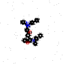 c1ccc(-c2ccc(-c3nc(-c4ccccc4)nc(-c4ccc5c(c4)oc4cc(-c6cc(-n7c8ccccc8c8cc(-c9ccccc9)ccc87)cc7oc8ccccc8c67)ccc45)n3)cc2)cc1